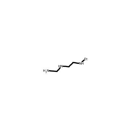 CCNCCNCN